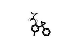 Cc1ccc(OC(=O)N(C)C)c(C2(c3ccccc3)CC2)c1